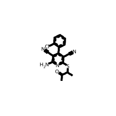 CC(=O)C(C)Sc1nc(N)c(C#N)c(-c2ccccc2Cl)c1C#N